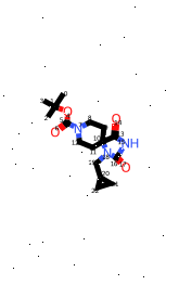 CC(C)(C)OC(=O)N1CCC2(CC1)C(=O)NC(=O)N2CC1CC1